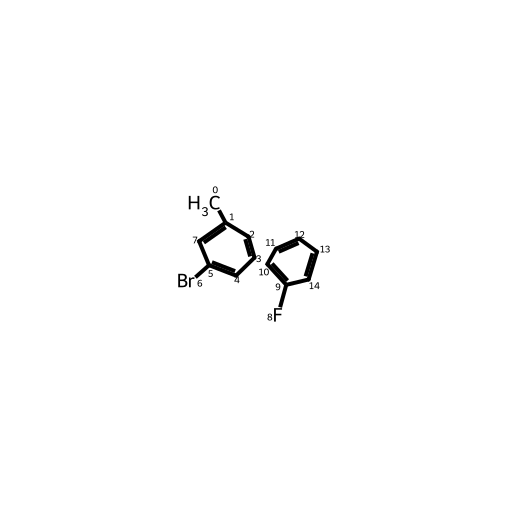 Cc1cccc(Br)c1.Fc1ccccc1